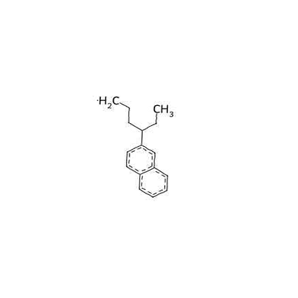 [CH2]CCC(CC)c1ccc2ccccc2c1